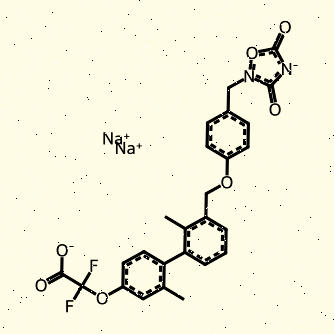 Cc1cc(OC(F)(F)C(=O)[O-])ccc1-c1cccc(COc2ccc(Cn3oc(=O)[n-]c3=O)cc2)c1C.[Na+].[Na+]